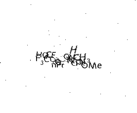 CCCc1cc(C(O)(C(F)(F)F)C(F)(F)F)ccc1OCCCCN1C(=O)NC(C)(c2ccc(OC)nc2)C1=O